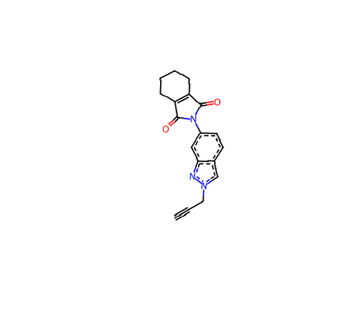 C#CCn1cc2ccc(N3C(=O)C4=C(CCCC4)C3=O)cc2n1